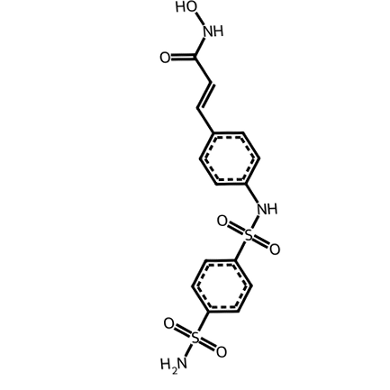 NS(=O)(=O)c1ccc(S(=O)(=O)Nc2ccc(/C=C/C(=O)NO)cc2)cc1